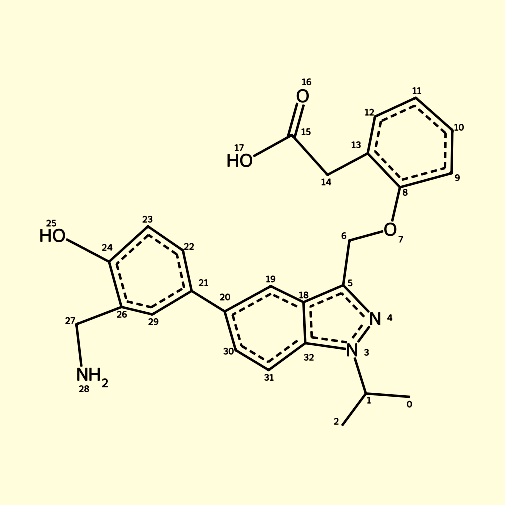 CC(C)n1nc(COc2ccccc2CC(=O)O)c2cc(-c3ccc(O)c(CN)c3)ccc21